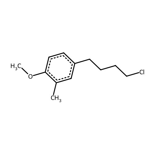 COc1ccc(CCCCCl)cc1C